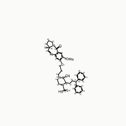 COc1cc2c(cc1OCCCN1CCN(C(=S)S)C(CCC(c3ccccc3)c3ccccc3)C1C#N)N=C[C@@H]1CCCN1C2=O